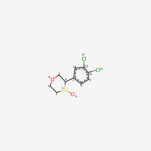 [O-][S+]1CCOCC1c1ccc(Cl)c(Cl)c1